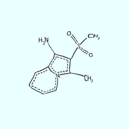 Cc1c(S(C)(=O)=O)c(N)c2ccccn12